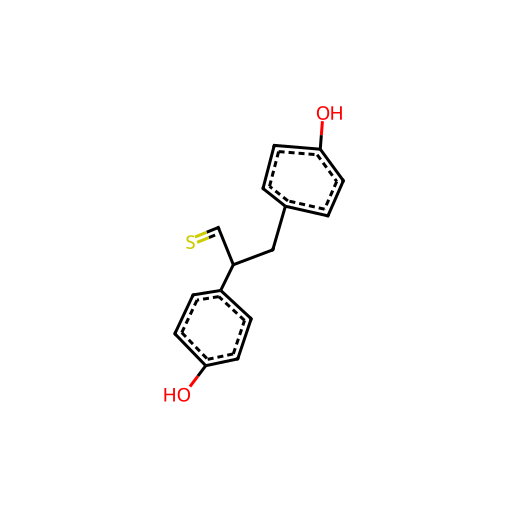 Oc1ccc(CC(C=S)c2ccc(O)cc2)cc1